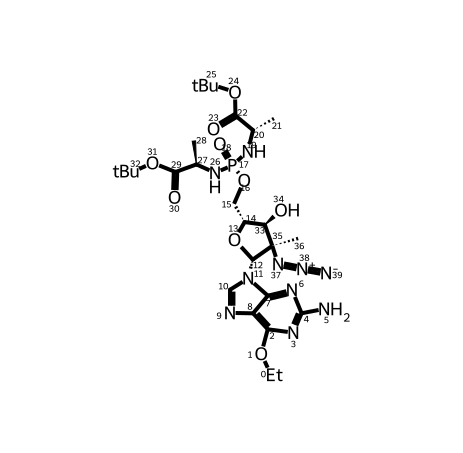 CCOc1nc(N)nc2c1ncn2[C@@H]1O[C@H](COP(=O)(N[C@@H](C)C(=O)OC(C)(C)C)N[C@H](C)C(=O)OC(C)(C)C)[C@@H](O)[C@@]1(C)N=[N+]=[N-]